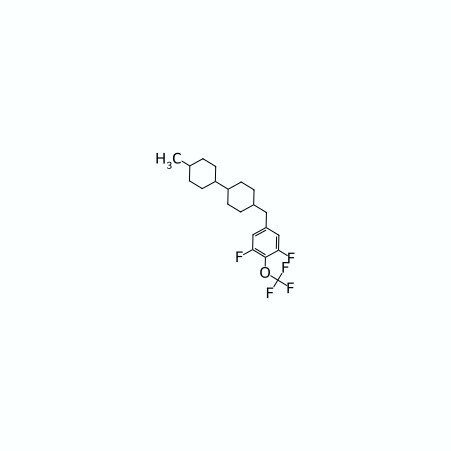 CC1CCC(C2CCC(Cc3cc(F)c(OC(F)(F)F)c(F)c3)CC2)CC1